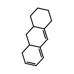 [C]1=C2CCCCC2CC2CC=CC=C12